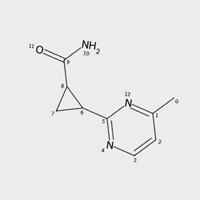 Cc1ccnc(C2CC2C(N)=O)n1